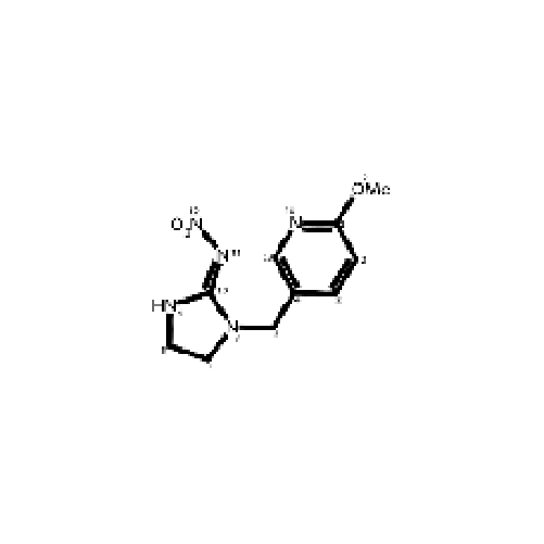 COc1ccc(CN2CCN/C2=N\[N+](=O)[O-])cn1